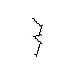 [CH2]C(CCCCC(C)CCCCCCC(C)C)CCC(C)CCCCC(C)CCCCCCC